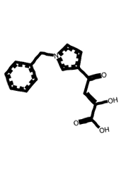 O=C(O)C(O)=CC(=O)c1ccn(Cc2ccccc2)c1